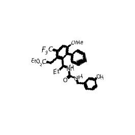 CCOC(=O)Cc1c(C(F)(F)F)cc(OC)c(-c2ccccc2)c1C(CC)NC(=O)NCc1cccc(O)c1